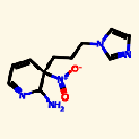 NC1N=CC=CC1(CCCn1ccnc1)[N+](=O)[O-]